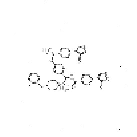 C=C(Oc1ccc(C(OC(=O)c2ccc(-c3cssc3=S)cc2)C(C)N2CCC(Cc3ccccc3)CC2)cc1)c1ccc(-c2cssc2=S)cc1